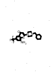 Nc1cc(C(F)(F)F)cc2c(=O)cc(N3CCN(CC4CCCCC4)CC3)sc12